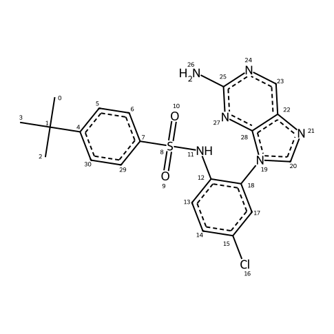 CC(C)(C)c1ccc(S(=O)(=O)Nc2ccc(Cl)cc2-n2cnc3cnc(N)nc32)cc1